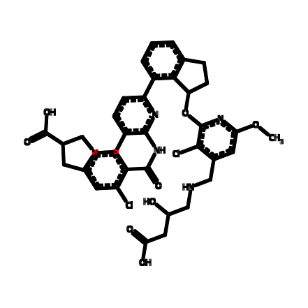 COc1cc(CNCC(O)CC(=O)O)c(Cl)c(OC2CCc3cccc(-c4ccc(CN5CCC(C(=O)O)C5)c(NC(=O)c5ccccc5Cl)n4)c32)n1